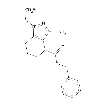 CCOC(=O)Cn1nc(N)c2c1CCC[C@H]2C(=O)OCc1ccccc1